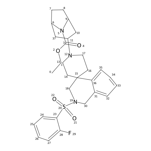 CCOC(=O)N1C2CCC1CC(N1CCC3(CC1)CN(S(=O)(=O)c1ccccc1F)Cc1ccccc13)C2